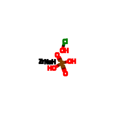 O=S(=O)(O)O.OCl.[NaH].[Zr]